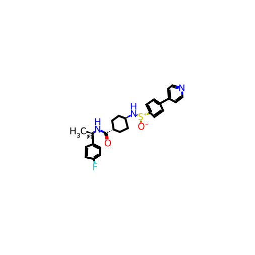 C[C@@H](NC(=O)[C@H]1CC[C@H](N[S+]([O-])c2ccc(-c3ccncc3)cc2)CC1)c1ccc(F)cc1